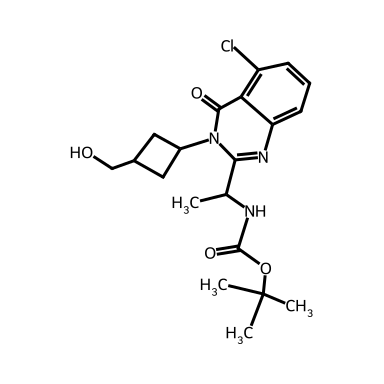 CC(NC(=O)OC(C)(C)C)c1nc2cccc(Cl)c2c(=O)n1C1CC(CO)C1